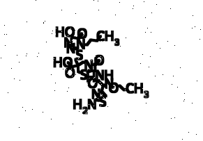 CCCCn1c(SCC2(C(=O)O)CS[C@@H]3C(NC(=O)C(=NOCCC)c4csc(N)n4)C(=O)N3C2)nnc(O)c1=O